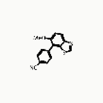 COc1ccc2ncsc2c1-c1ccc(C#N)cc1